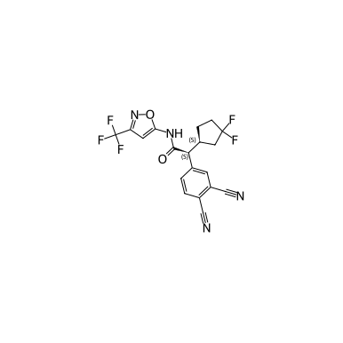 N#Cc1ccc([C@@H](C(=O)Nc2cc(C(F)(F)F)no2)[C@H]2CCC(F)(F)C2)cc1C#N